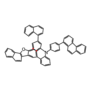 c1cc(-c2cccc3ccccc23)cc(N(c2ccc(-c3cccc4c3ccc3ccccc34)cc2)c2ccccc2-c2ccc3oc4c5ccccc5ccc4c3c2)c1